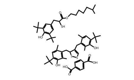 CC(C)CCCCCOC(=O)C(S)Cc1cc(C(C)(C)C)c(O)c(C(C)(C)C)c1.Cc1cc(C(C)(C)C)c(O)c(C)c1CC1=CSSC1Cc1c(C)cc(C(C)(C)C)c(O)c1C.O=C(O)c1ccc(C(=O)O)cc1